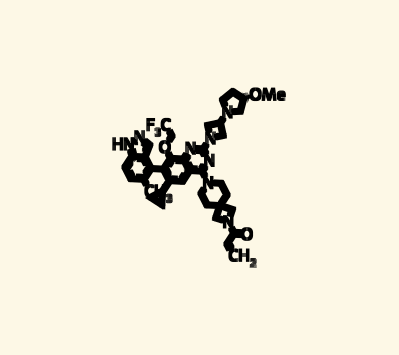 C=CC(=O)N1CC2(CCN(c3nc(N4CC(N5CC[C@H](OC)C5)C4)nc4c(OCC(F)(F)F)c(-c5c(C)ccc6[nH]ncc56)c(C5CC5)cc34)CC2)C1